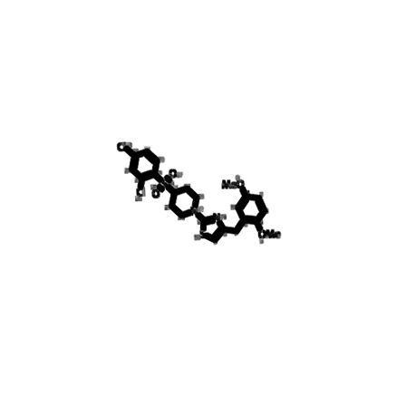 COc1ccc(OC)c(Cc2csc(N3CCC(S(=O)(=O)c4ccc(Cl)cc4Cl)CC3)n2)c1